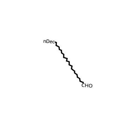 CCCCCCCCCCCCCCCCCCCCCCCCCCCCCCCC=O